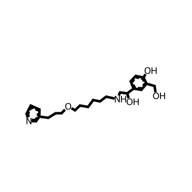 OCc1cc(C(O)CNCCCCCCOCCCc2cccnc2)ccc1O